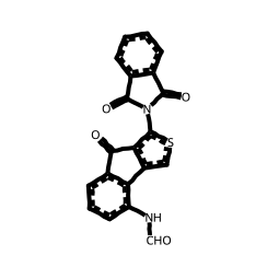 O=CNc1cccc2c1-c1csc(N3C(=O)c4ccccc4C3=O)c1C2=O